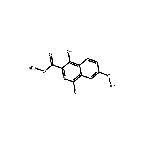 CCCCOC(=O)c1nc(Cl)c2cc(OC(C)C)ccc2c1O